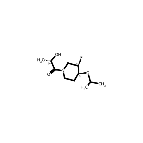 CC(C)O[C@H]1CCN(C(=O)[C@H](C)O)C[C@H]1F